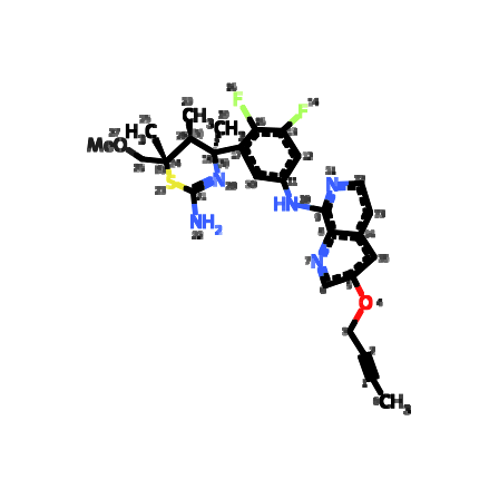 CC#CCOc1cnc2c(Nc3cc(F)c(F)c([C@@]4(C)N=C(N)S[C@](C)(COC)[C@H]4C)c3)nccc2c1